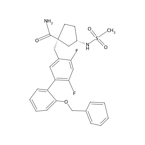 CS(=O)(=O)N[C@H]1CC[C@](Cc2cc(-c3ccccc3OCc3ccccc3)c(F)cc2F)(C(N)=O)C1